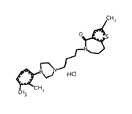 Cc1cc2c(s1)CCCN(CCCCN1CCN(c3cccc(C)c3C)CC1)C2=O.Cl